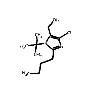 CCCCc1nc(Cl)c(CO)n1C(C)(C)C